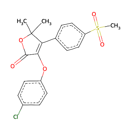 CC1(C)OC(=O)C(Oc2ccc(Cl)cc2)=C1c1ccc(S(C)(=O)=O)cc1